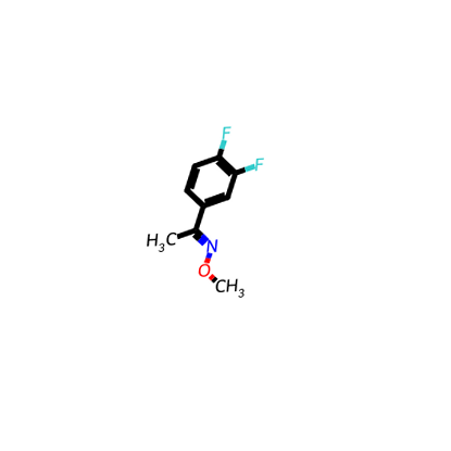 CON=C(C)c1ccc(F)c(F)c1